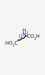 NC(CC(=O)CCC(=O)O)C(=O)O